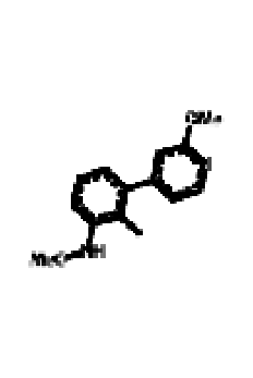 CONc1cccc(-c2ccnc(OC)c2)c1C